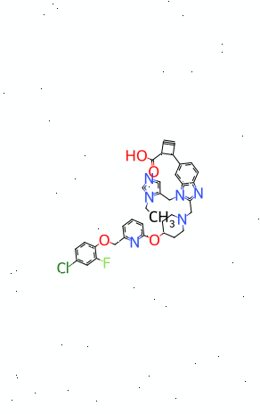 CCn1cncc1Cn1c(CN2CCC(Oc3cccc(COc4ccc(Cl)cc4F)n3)CC2)nc2ccc(C3C#CC3C(=O)O)cc21